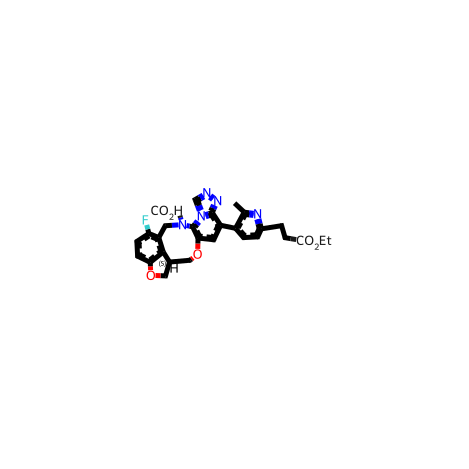 CCOC(=O)CCc1ccc(-c2cc3c(n4cnnc24)N(C(=O)O)Cc2c(F)ccc4c2[C@@H](CO4)CO3)c(C)n1